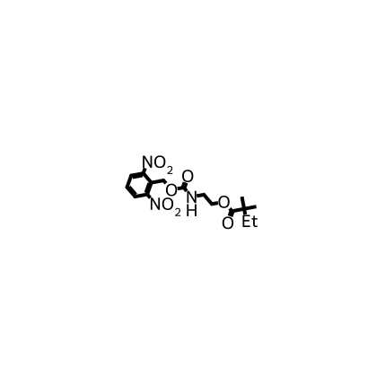 CCC(C)(C)C(=O)OCCNC(=O)OCc1c([N+](=O)[O-])cccc1[N+](=O)[O-]